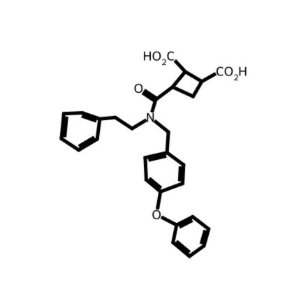 O=C(O)C1CC(C(=O)N(CCc2ccccc2)Cc2ccc(Oc3ccccc3)cc2)C1C(=O)O